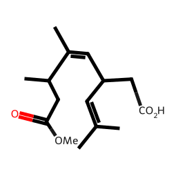 COC(=O)CC(C)/C(C)=C\C(C=C(C)C)CC(=O)O